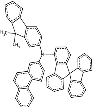 CC1(C)c2ccccc2-c2ccc(N(c3ccc4c(ccc5ccccc54)c3)c3cccc4c3-c3ccccc3C43c4ccccc4-c4ccccc43)cc21